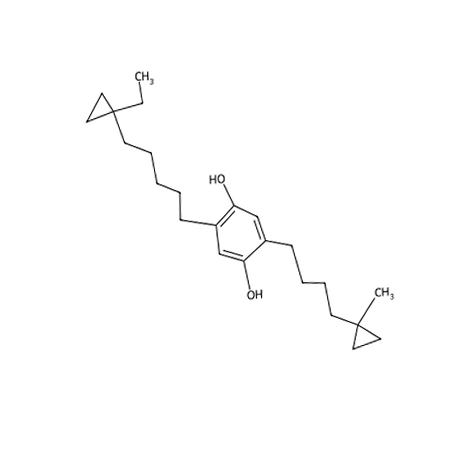 CCC1(CCCCCc2cc(O)c(CCCCC3(C)CC3)cc2O)CC1